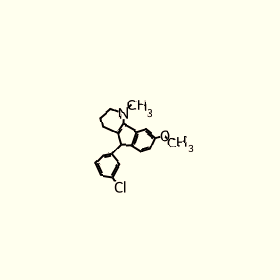 COc1ccc2c(c1)C1C(CCCN1C)C2c1cccc(Cl)c1